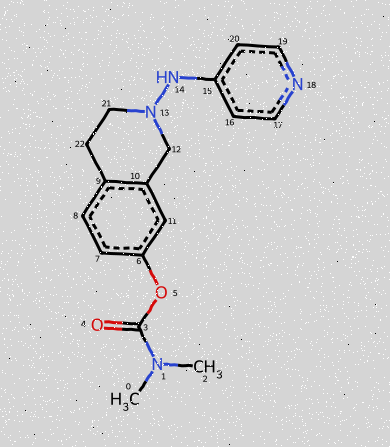 CN(C)C(=O)Oc1ccc2c(c1)CN(Nc1ccncc1)CC2